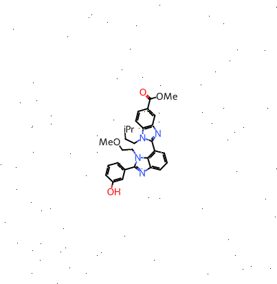 COCCn1c(-c2cccc(O)c2)nc2cccc(-c3nc4cc(C(=O)OC)ccc4n3CCC(C)C)c21